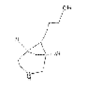 OCCC1[C@H]2CNC[C@@H]12